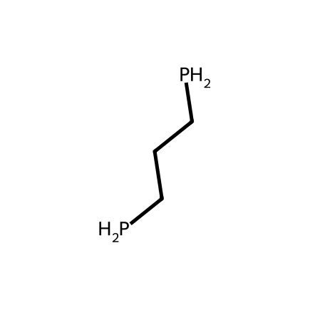 PCCCP